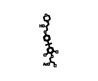 CC(=O)O[C@@H](CCl)COc1c(Cl)cc(C(C)(C)c2ccc(OC[C@H](O)CN3CCOCC3)cc2)cc1Cl